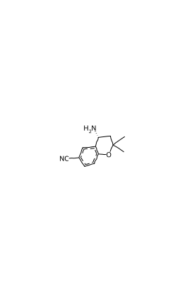 CC1(C)C[C@@H](N)c2cc(C#N)ccc2O1